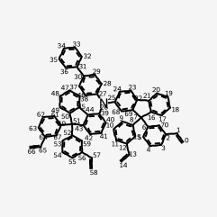 C=Cc1cccc(C2(c3cccc(C=C)c3)c3ccccc3-c3ccc(N(c4ccc(-c5ccccc5)cc4)c4cccc5c4-c4ccccc4C5(c4cccc(C=C)c4)c4cccc(C=C)c4)cc32)c1